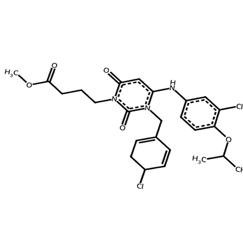 COC(=O)CCCn1c(=O)cc(Nc2ccc(OC(C)C)c(Cl)c2)n(CC2=CCC(Cl)C=C2)c1=O